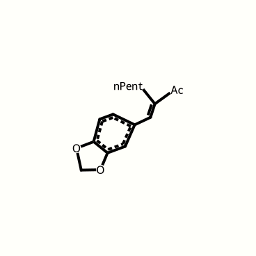 CCCCC/C(=C\c1ccc2c(c1)OCO2)C(C)=O